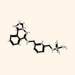 CS(=O)(=O)OCc1cccc(COc2nn3cnnc3c3ccccc23)n1